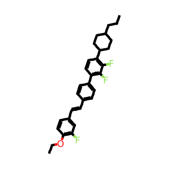 CCCC1CCC(c2ccc(-c3ccc(/C=C/c4ccc(OCC)c(F)c4)cc3)c(F)c2F)CC1